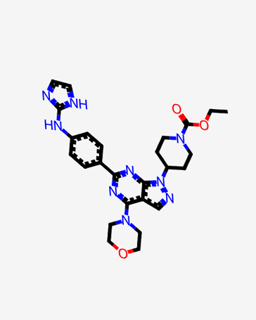 CCOC(=O)N1CCC(n2ncc3c(N4CCOCC4)nc(-c4ccc(Nc5ncc[nH]5)cc4)nc32)CC1